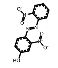 O=[N+]([O-])c1ccccc1N=Nc1ccc(O)cc1[N+](=O)[O-]